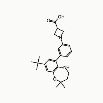 CC1(C)CCNc2c(cc(C(C)(C)C)cc2-c2cccc(N3CC(C(=O)O)C3)c2)O1